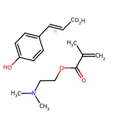 C=C(C)C(=O)OCCN(C)C.O=C(O)/C=C/c1ccc(O)cc1